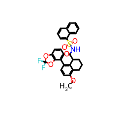 COc1ccc(-c2cccc3c2OC(F)(F)O3)c2c1CCCC2C(=O)NS(=O)(=O)c1cccc2ccccc12